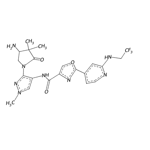 Cn1cc(NC(=O)c2coc(-c3ccnc(NCC(F)(F)F)c3)n2)c(N2CC(N)C(C)(C)C2=O)n1